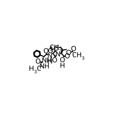 CNC(=O)NC(C(=O)N[C@]1(OC)C(=O)N2C(C(=O)O)=C(COC(C)=O)CS[C@H]21)c1ccccc1